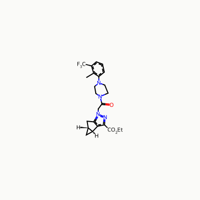 CCOC(=O)c1nn(CC(=O)N2CCN(c3cccc(C(F)(F)F)c3C)CC2)c2c1[C@@H]1C[C@@H]1C2